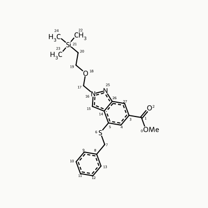 COC(=O)c1cc(SCc2ccccc2)c2cn(COCC[Si](C)(C)C)nc2c1